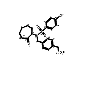 O=C(O)Cc1ccc(CN([C@@H]2CCCCNC2=O)S(=O)(=O)c2ccc(Cl)cc2)cc1